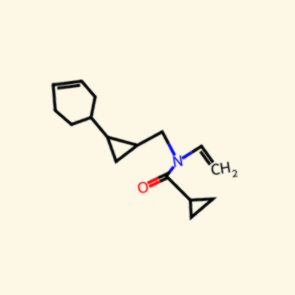 C=CN(CC1CC1C1CC=CCC1)C(=O)C1CC1